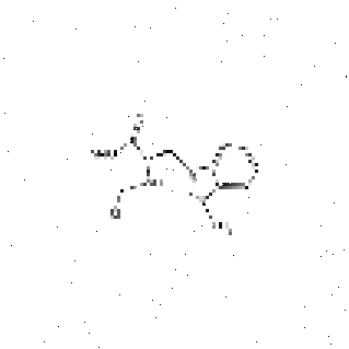 COC(=O)[C@@H](Cc1cn(C)c2ccccc12)NCCl